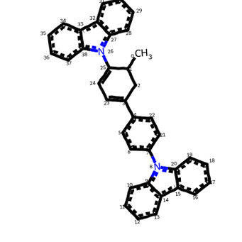 CC1CC(c2ccc(-n3c4ccccc4c4ccccc43)cc2)=CC=C1n1c2ccccc2c2ccccc21